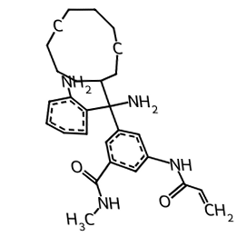 C=CC(=O)Nc1cc(C(=O)NC)cc(C(N)(c2ccccc2N)C2CCCCCCCCC2)c1